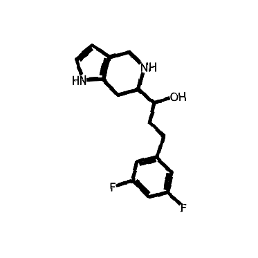 OC(CCc1cc(F)cc(F)c1)C1Cc2[nH]ccc2CN1